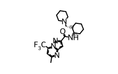 Cc1cc(C(F)(F)F)n2nc(C(=O)N[C@@H]3CCCC[C@H]3CN3CCCCC3)cc2n1